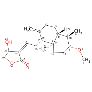 C=C1CC[C@@H]2[C@@H](C)[C@H](OC)CC[C@@]2(C)[C@@H]1CC=C1C(=O)OCC1O